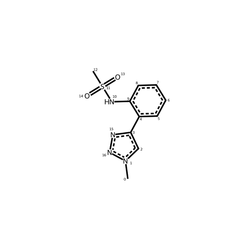 Cn1cc(-c2ccccc2NS(C)(=O)=O)nn1